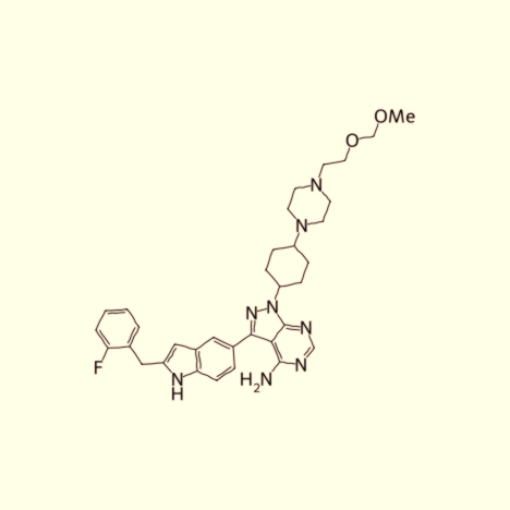 COCOCCN1CCN(C2CCC(n3nc(-c4ccc5[nH]c(Cc6ccccc6F)cc5c4)c4c(N)ncnc43)CC2)CC1